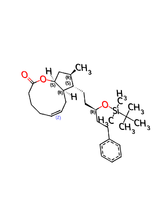 C[C@@H]1C[C@@H]2OC(=O)CCC/C=C\C[C@@H]2[C@H]1CC[C@H](CCc1ccccc1)O[Si](C)(C)C(C)(C)C